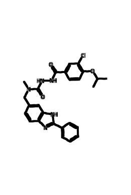 CC(C)Oc1ccc(C(=O)NNC(=O)N(C)Cc2ccc3nc(-c4ccccc4)[nH]c3c2)cc1Cl